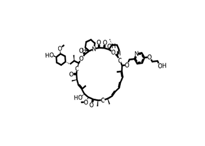 CO[C@@H]1C[C@H](C[C@@H](C)[C@@H]2CC(=O)[C@H](C)/C=C(\C)[C@@H](O)[C@@H](OC)C(=O)[C@H](C)C[C@H](C)/C=C/C=C/C=C(\C)C(OCc3ccc(OCCO)cn3)C[C@@H]3CC[C@@H](C)[C@@](O)(O3)C(=O)C(=O)N3CCCC[C@H]3C(=O)O2)CC[C@H]1O